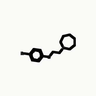 Brc1ccc(OCCN2CCCCCC2)cc1